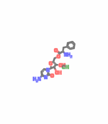 Cl.Nc1ccn(C2OC(COC(=O)C(N)Cc3ccccc3)C(O)C2O)c(=O)n1